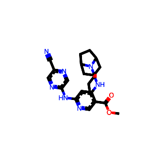 CCCN1C2CCC1CC(Nc1cc(Nc3cnc(C#N)cn3)ncc1C(=O)OC)C2